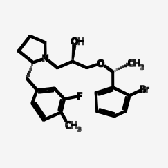 Cc1ccc(C[C@@H]2CCCN2C[C@@H](O)CO[C@H](C)c2ccccc2Br)cc1F